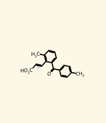 Cc1ccc(C(=O)c2cccc(C)c2/C=C/C(=O)O)cc1